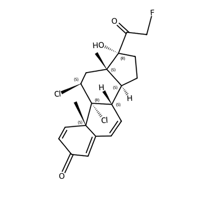 C[C@]12C=CC(=O)C=C1C=C[C@H]1[C@@H]3CC[C@](O)(C(=O)CF)[C@@]3(C)C[C@H](Cl)[C@@]12Cl